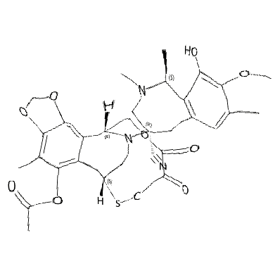 COc1c(C)cc2c(c1O)[C@H](C)N(C)C[C@](C#N)(N1C[C@@H]3SCC(=O)C(=O)OC[C@H]1c1c4c(c(C)c(OC(C)=O)c13)OCO4)C2